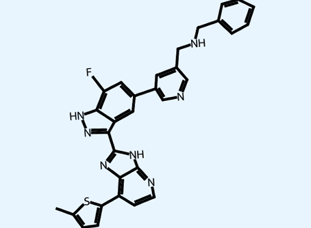 Cc1ccc(-c2ccnc3[nH]c(-c4n[nH]c5c(F)cc(-c6cncc(CNCc7ccccc7)c6)cc45)nc23)s1